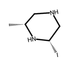 C[C@@H]1CNC[C@H](I)N1